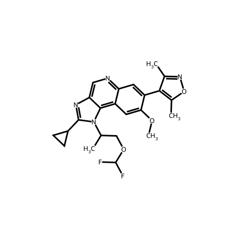 COc1cc2c(cc1-c1c(C)noc1C)ncc1nc(C3CC3)n(C(C)COC(F)F)c12